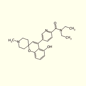 CCN(CC)C(=O)c1ccc(C2=CC3(CCN(C)CC3)Oc3cccc(O)c32)cn1